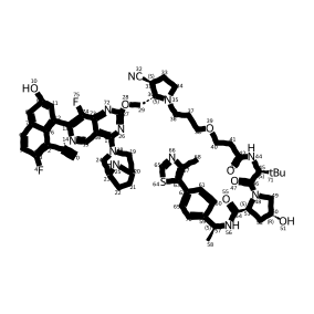 C#Cc1c(F)ccc2cc(O)cc(-c3ncc4c(N5CC6CCC(C5)N6)nc(OC[C@@H]5[C@@H](C#N)CCN5CCCOCCC(=O)N[C@H](C(=O)N5C[C@H](O)C[C@H]5C(=O)N[C@@H](C)c5ccc(-c6scnc6C)cc5)C(C)(C)C)nc4c3F)c12